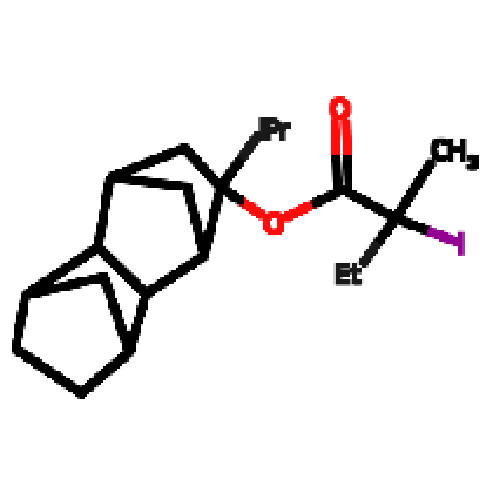 CCC(C)(I)C(=O)OC1(C(C)C)CC2CC1C1C3CCC(C3)C21